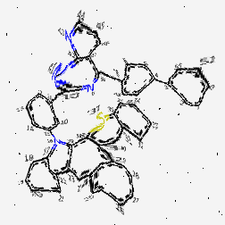 c1ccc(-c2ccc(-c3nc(-c4cccc(-n5c6ccccc6c6c7ccccc7c7c8ccccc8sc7c65)c4)nc4ncccc34)cc2)cc1